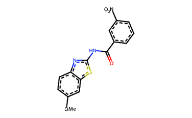 COc1ccc2nc(NC(=O)c3cccc([N+](=O)[O-])c3)sc2c1